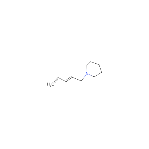 C=CC=CCN1CCCCC1